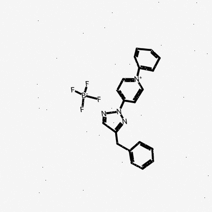 F[B-](F)(F)F.c1ccc(Cc2cnn(-c3cc[n+](-c4ccccc4)cc3)n2)cc1